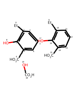 CCc1cccc(C(=O)O)c1O.CCc1cccc(C(=O)O)c1O.O=C(O)O